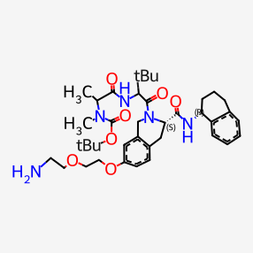 CC(C(=O)NC(C(=O)N1Cc2cc(OCCOCCN)ccc2C[C@H]1C(=O)N[C@@H]1CCCc2ccccc21)C(C)(C)C)N(C)C(=O)OC(C)(C)C